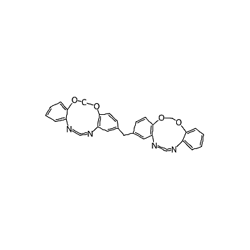 C1=Nc2ccccc2OCOc2ccc(Cc3ccc4c(c3)N=C=Nc3ccccc3OCO4)cc2N=1